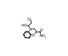 NC(=O)C1CN(C(O)CCl)c2ccccc2O1